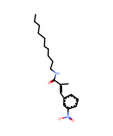 CCCCCCCCCCNC(=O)/C(C)=C/c1cccc([N+](=O)[O-])c1